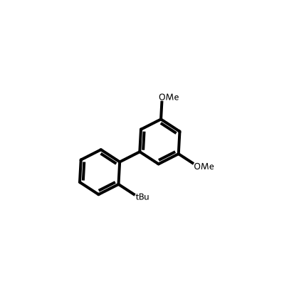 COc1cc(OC)cc(-c2ccccc2C(C)(C)C)c1